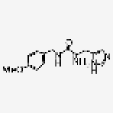 COc1ccc(CNC(=O)[C@H](N)Cc2cnc[nH]2)cc1